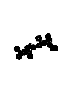 c1ccc(-n2c3ccccc3c3cc4c(cc32)c2ccc3sc5cc(-c6ccc7c8cc9c%10cc%11sc%12ccccc%12c%11cc%10c%10nc%11ccccc%11n%10c9cc8n(-c8ccccc8)c7c6)ccc5c3c2c2nc3ccccc3n42)cc1